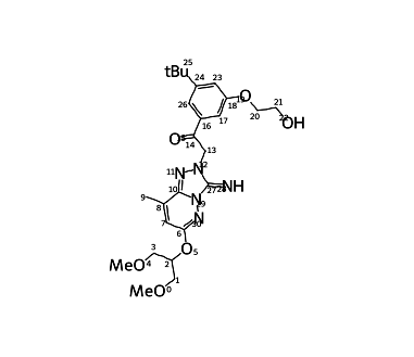 COCC(COC)Oc1cc(C)c2nn(CC(=O)c3cc(OCCO)cc(C(C)(C)C)c3)c(=N)n2n1